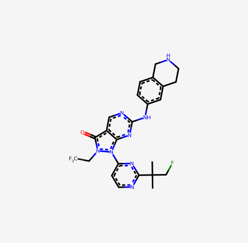 CC(C)(CF)c1nccc(-n2c3nc(Nc4ccc5c(c4)CCNC5)ncc3c(=O)n2CC(F)(F)F)n1